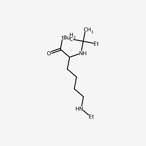 CCNCCCCC(NC(C)(C)CC)C(=O)C(C)(C)C